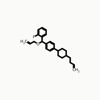 C=CCCC1CCC(c2ccc(C(OCC=C)c3ccccc3F)cc2)CC1